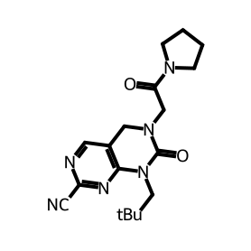 CC(C)(C)CN1C(=O)N(CC(=O)N2CCCC2)Cc2cnc(C#N)nc21